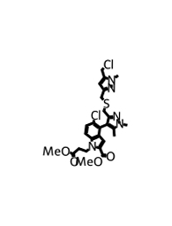 COC(=O)CCn1c(C(=O)OC)cc2c(-c3c(CSCc4cc(CCl)n(C)n4)nn(C)c3C)c(Cl)ccc21